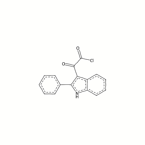 O=C(Cl)C(=O)c1c(-c2ccccc2)[nH]c2ccccc12